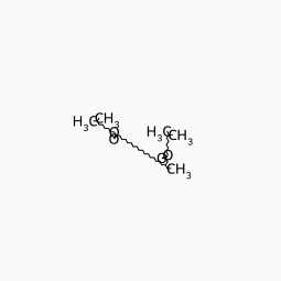 CCC(CCCCCCCCCCCCCCCCC(=O)OCCCCCC(C)C)CC(=O)OCCCCCC(C)C